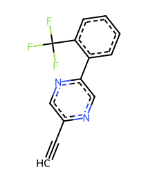 C#Cc1cnc(-c2ccccc2C(F)(F)F)cn1